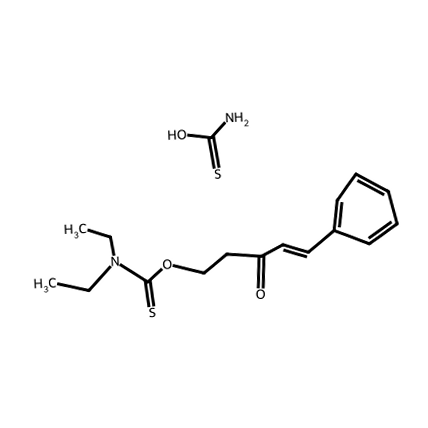 CCN(CC)C(=S)OCCC(=O)C=Cc1ccccc1.NC(O)=S